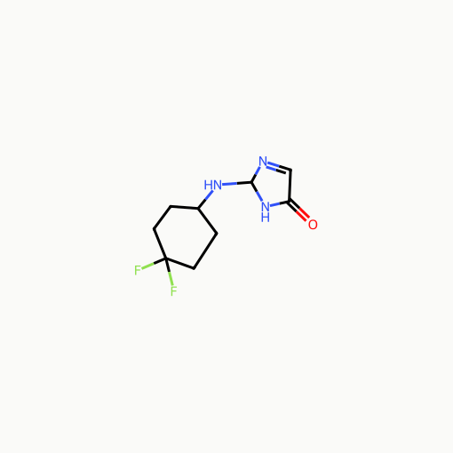 O=C1C=NC(NC2CCC(F)(F)CC2)N1